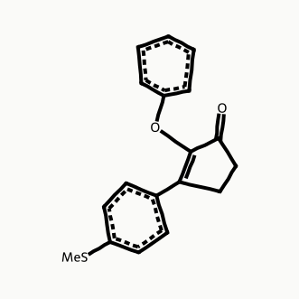 CSc1ccc(C2=C(Oc3ccccc3)C(=O)CC2)cc1